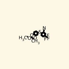 CCOC(=O)C(C)Oc1cccc(Sc2ccc(C(F)(F)F)cc2C#N)c1